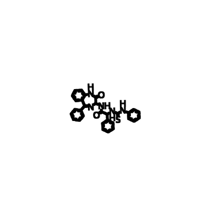 O=C1Nc2ccccc2C(c2ccccc2)=NC1NC(=O)C(NC(=S)Nc1ccccc1)c1ccccc1